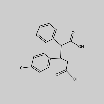 O=C(O)CC(c1ccc(Cl)cc1)C(C(=O)O)c1ccccc1